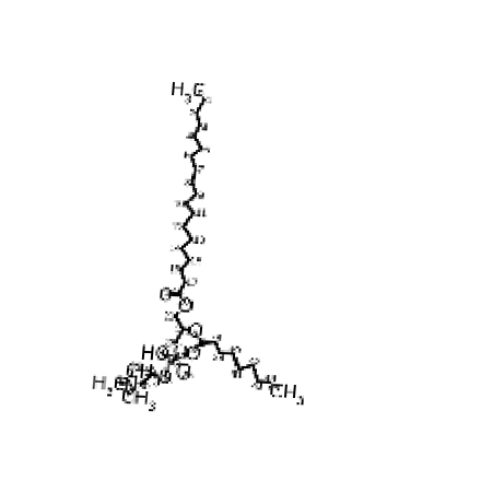 CCCCCCCCCCCCCCCCCCC(=O)OCC(COP(=O)(O)OCC[N+](C)(C)C)OC(=O)CCCCCCCC